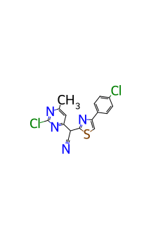 Cc1cc(C(C#N)c2nc(-c3ccc(Cl)cc3)cs2)nc(Cl)n1